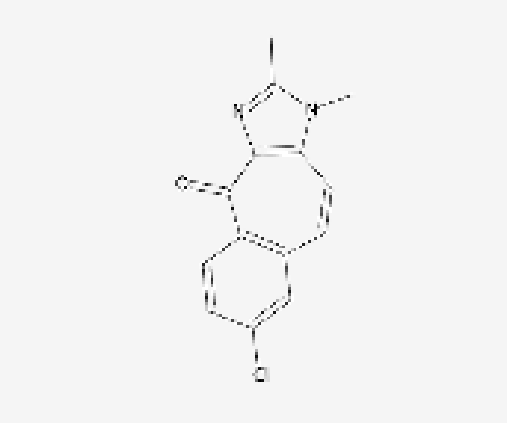 Cc1nc2c(=O)c3ccc(Cl)cc3ccc2n1C